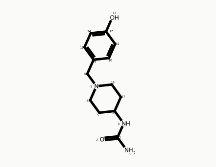 NC(=O)NC1CCN(Cc2ccc(O)cc2)CC1